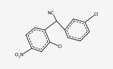 N#CC(c1cccc(Cl)c1)c1ccc([N+](=O)[O-])cc1Cl